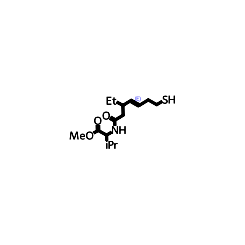 CCC(/C=C/CCS)CC(=O)NC(C(=O)OC)C(C)C